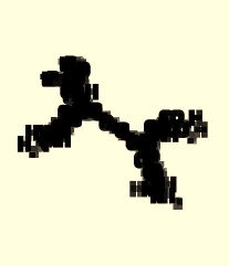 CC(C)(C)OC(=O)C[C@@H](NC(=O)c1cc(OCCOCCOCCOc2cc(OC(=O)c3ccc(NC(=N)N)cc3)cc(C(=O)N[C@H](CC(=O)O)C(=O)O)c2)cc(OC(=O)c2ccc(NC(=N)N)cc2)c1)C(=O)OC(C)(C)C